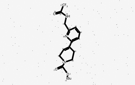 CC(C)(C)OC(=O)N1CC=C(c2cccc(CNC(=O)C(F)(F)F)n2)CC1